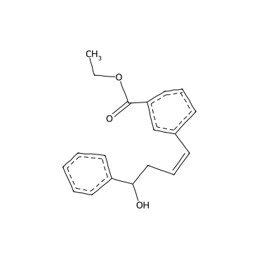 CCOC(=O)c1cccc(/C=C\CC(O)c2ccccc2)c1